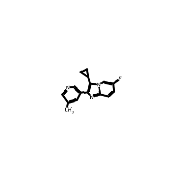 Cc1cncc(-c2nc3ccc(F)cn3c2C2CC2)c1